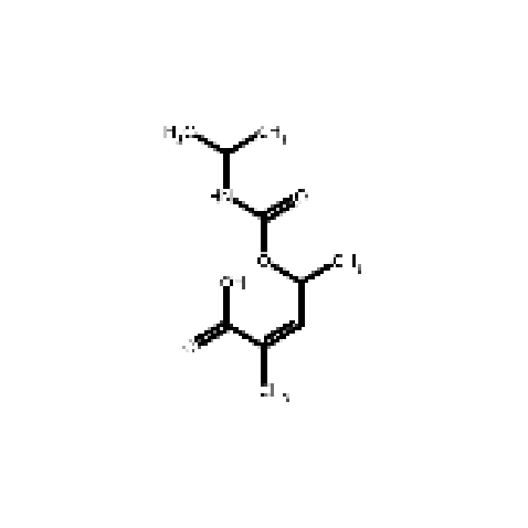 CC(=CC(C)OC(=O)NC(C)C)C(=O)O